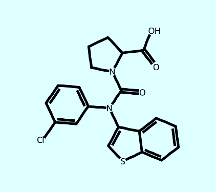 O=C(O)C1CCCN1C(=O)N(c1cccc(Cl)c1)c1csc2ccccc12